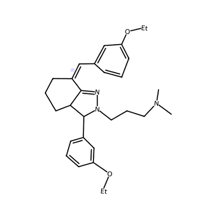 CCOc1cccc(/C=C2/CCCC3C2=NN(CCCN(C)C)C3c2cccc(OCC)c2)c1